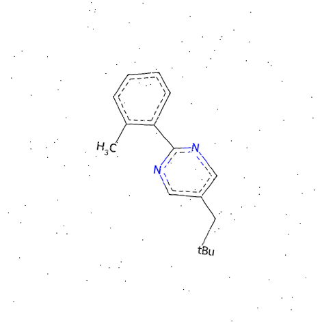 Cc1ccccc1-c1ncc(CC(C)(C)C)cn1